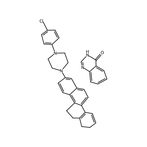 Clc1ccc(N2CCN(c3ccc4c5c(ccc4c3)C3=C(CCC=C3)CC5)CC2)cc1.O=c1[nH]cnc2ccccc12